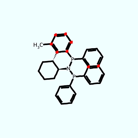 CC1CCCCC1[C@H]1CCCC[C@@H]1N(P(c1ccccc1)c1ccccc1)P(c1ccccc1)c1ccccc1